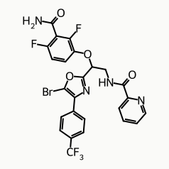 NC(=O)c1c(F)ccc(OC(CNC(=O)c2ccccn2)c2nc(-c3ccc(C(F)(F)F)cc3)c(Br)o2)c1F